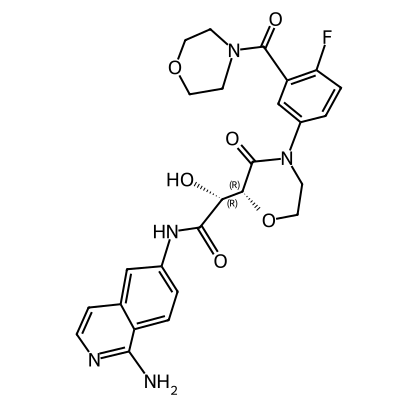 Nc1nccc2cc(NC(=O)[C@H](O)[C@H]3OCCN(c4ccc(F)c(C(=O)N5CCOCC5)c4)C3=O)ccc12